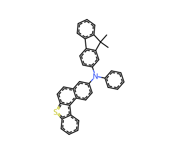 CC1(C)c2ccccc2-c2ccc(N(c3ccccc3)c3ccc4c(ccc5sc6ccccc6c54)c3)cc21